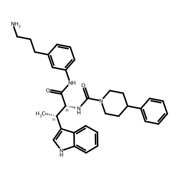 C[C@@H](c1c[nH]c2ccccc12)[C@@H](NC(=O)N1CCC(c2ccccc2)CC1)C(=O)Nc1cccc(CCCN)c1